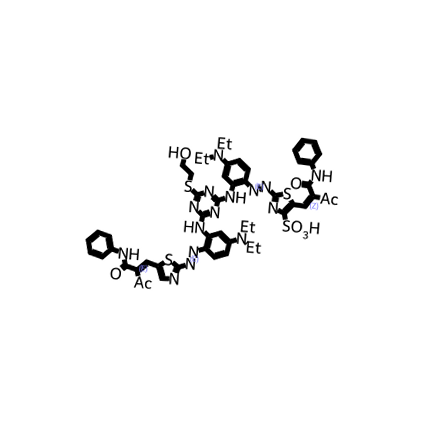 CCN(CC)c1ccc(/N=N/c2ncc(/C=C(\C(C)=O)C(=O)Nc3ccccc3)s2)c(Nc2nc(Nc3cc(N(CC)CC)ccc3/N=N/c3nc(S(=O)(=O)O)c(/C=C(/C(C)=O)C(=O)Nc4ccccc4)s3)nc(SCCO)n2)c1